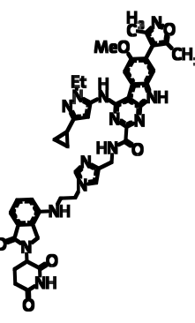 CCn1nc(C2CC2)cc1Nc1nc(C(=O)NCc2cn(CCNc3cccc4c3CN(C3CCC(=O)NC3=O)C4=O)cn2)nc2[nH]c3cc(-c4c(C)noc4C)c(OC)cc3c12